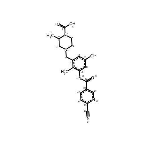 Cc1c(CN2CCN(C(=O)O)C(C)C2)cc(Cl)cc1NC(=O)c1ccc(C#N)nc1